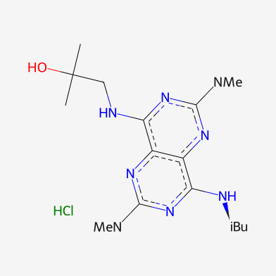 CC[C@H](C)Nc1nc(NC)nc2c(NCC(C)(C)O)nc(NC)nc12.Cl